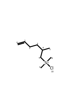 C=CCCC(C)C[Si](C)(C)Cl